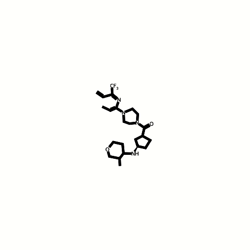 C=C/C(=N\C(=C/C)N1CCN(C(=O)C2CC[C@@H](NC3CCOCC3C)C2)CC1)C(F)(F)F